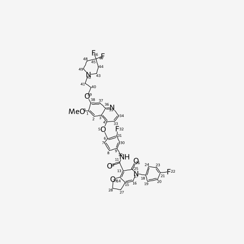 COc1cc2c(Oc3ccc(NC(=O)c4c5c(cn(-c6ccc(F)cc6)c4=O)CCO5)cc3F)ccnc2cc1OCCN1CCC(F)(F)CC1